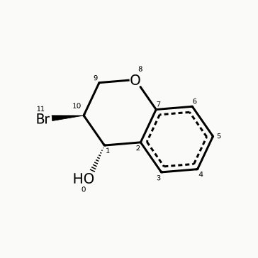 O[C@H]1c2ccccc2OC[C@@H]1Br